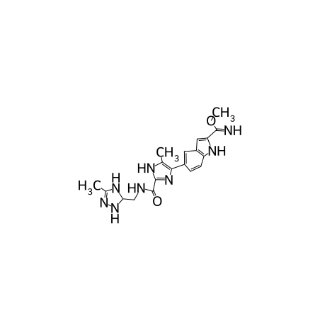 COC(=N)c1cc2cc(-c3nc(C(=O)NCC4NN=C(C)N4)[nH]c3C)ccc2[nH]1